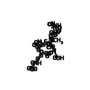 Cc1c(-c2ccc(N3CCc4cccc(C(=O)Nc5nc6ccccc6s5)c4C3)nc2C(=O)O)cnn1CC12CC3(C)CC(C)(C1)CC(OCCN(CCCC(=O)O)C1CCN(C(=O)OCc4ccc(O[C@H]5C[C@@H](O)C[C@@H](C(=O)O)O5)cc4OCCOCCNC(=O)CCN4C(=O)C=CC4=O)CC1)(C3)C2